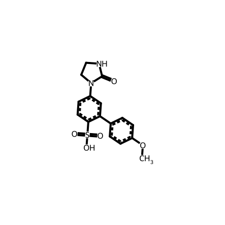 COc1ccc(-c2cc(N3CCNC3=O)ccc2S(=O)(=O)O)cc1